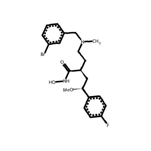 CO[C@H](C[C@H](CCN(C)Cc1cccc(Br)c1)C(=O)NO)c1ccc(F)cc1